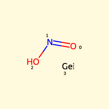 O=NO.[Ge]